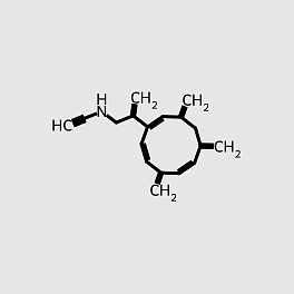 C#CNCC(=C)C1=C/C(=C)CC(=C)/C=C\C(=C)/C=C\1